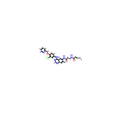 C=CC(=O)NCCC(=O)Nc1cc2c(Nc3ccc(OCc4ccccn4)c(Cl)c3)ncnc2cc1F